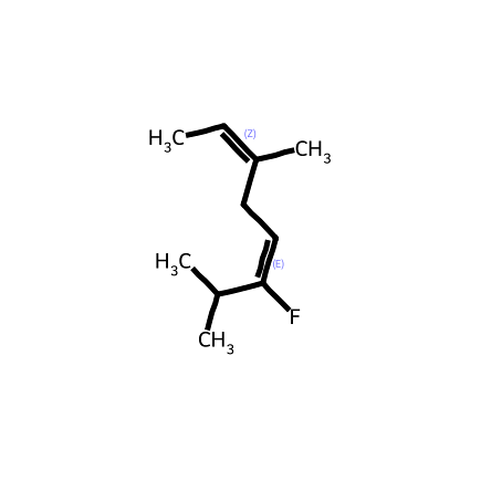 C/C=C(/C)C/C=C(/F)C(C)C